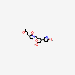 COC(=O)CC(CCCN1CC[C@@H](CCC(C)=O)C1=O)c1ccc(OC)nc1